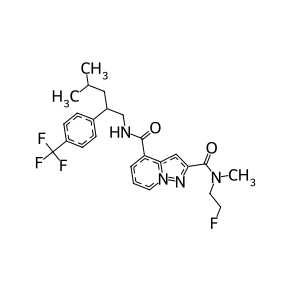 CC(C)CC(CNC(=O)c1cccn2nc(C(=O)N(C)CCF)cc12)c1ccc(C(F)(F)F)cc1